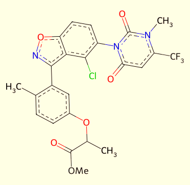 COC(=O)C(C)Oc1ccc(C)c(-c2noc3ccc(-n4c(=O)cc(C(F)(F)F)n(C)c4=O)c(Cl)c23)c1